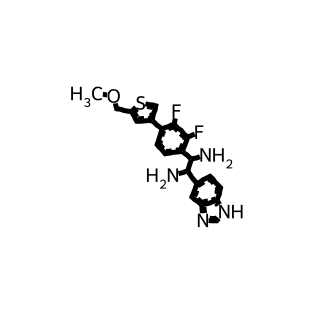 COCc1cc(-c2ccc(C(N)C(N)c3ccc4[nH]cnc4c3)c(F)c2F)cs1